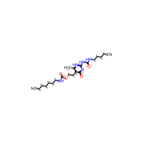 Cc1[nH]c(NC(=O)NCCCCC#N)nc(=O)c1CCOC(=O)NCCCCCCC#N